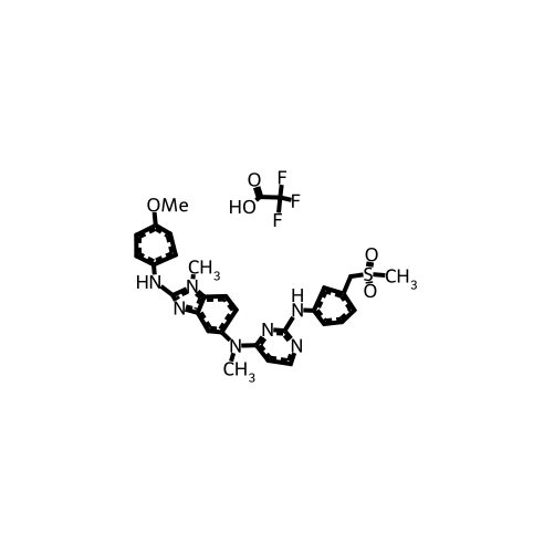 COc1ccc(Nc2nc3cc(N(C)c4ccnc(Nc5cccc(CS(C)(=O)=O)c5)n4)ccc3n2C)cc1.O=C(O)C(F)(F)F